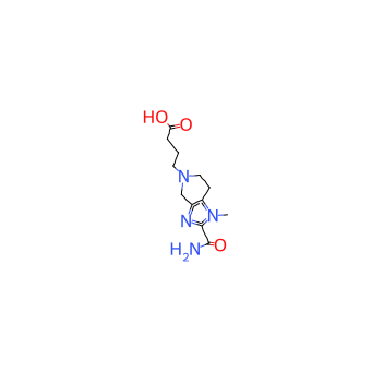 Cn1c(C(N)=O)nc2c1CCN(CCCC(=O)O)C2